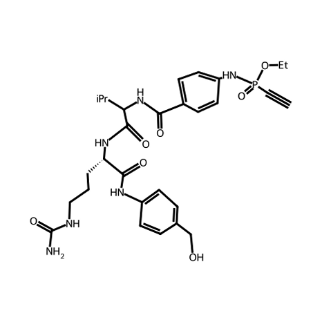 C#CP(=O)(Nc1ccc(C(=O)NC(C(=O)N[C@@H](CCCNC(N)=O)C(=O)Nc2ccc(CO)cc2)C(C)C)cc1)OCC